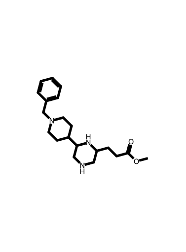 COC(=O)CCC1CNCC(C2CCN(Cc3ccccc3)CC2)N1